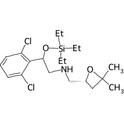 CC[Si](CC)(CC)OC(CNC[C@H]1CC(C)(C)O1)c1c(Cl)cccc1Cl